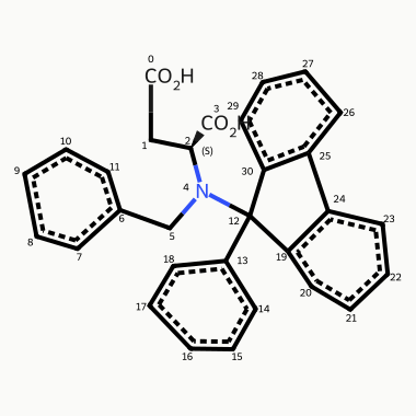 O=C(O)C[C@@H](C(=O)O)N(Cc1ccccc1)C1(c2ccccc2)c2ccccc2-c2ccccc21